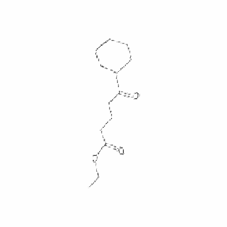 CCOC(=O)CCCC(=O)C1CCCCC1